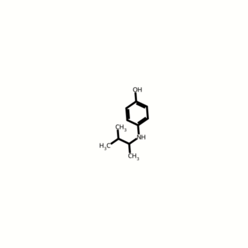 CC(C)C(C)Nc1ccc(O)cc1